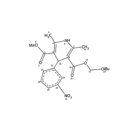 COC(=O)C1=C(C)NC(C)=C(C(=O)OCOCC(C)C)C1c1cccc([N+](=O)[O-])c1